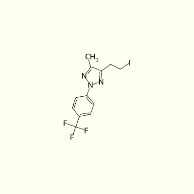 Cc1nn(-c2ccc(C(F)(F)F)cc2)nc1CCI